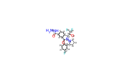 NNC(=O)c1ccc2c(c1)C(=O)N(N1CCCC1c1cccc(F)c1)C2C(=O)C(F)F